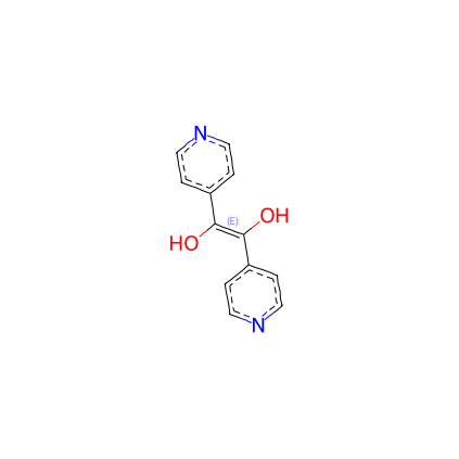 O/C(=C(/O)c1ccncc1)c1ccncc1